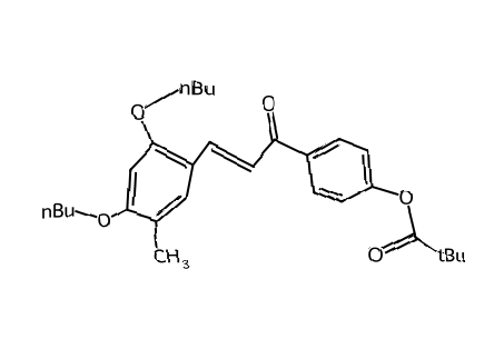 CCCCOc1cc(OCCCC)c(C=CC(=O)c2ccc(OC(=O)C(C)(C)C)cc2)cc1C